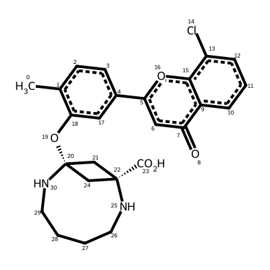 Cc1ccc(-c2cc(=O)c3cccc(Cl)c3o2)cc1O[C@]12C[C@](C(=O)O)(C1)NCCCCN2